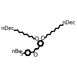 CCCCCCCCCCCCCCCCCCCOc1ccc(/C=C/C(=O)c2ccc(SCCCC)cc2)cc1OCCCCCCCCCCCCCCCCCCC